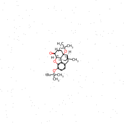 CC1CC[C@]23c4c5ccc(O[Si](C)(C)C(C)(C)C)c4O[C@H]2C(=O)CCC3(O[Si](C)(C)C)[C@H]1C5